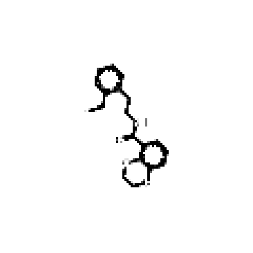 [CH2]Cc1ccccc1CCNC(=O)c1cccc2c1OCCO2